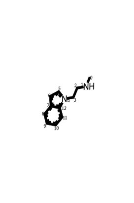 CNCCn1ccc2ccccc21